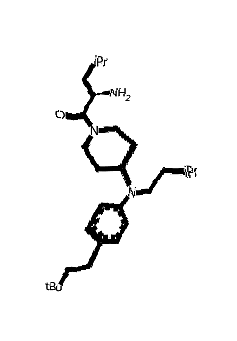 CC(C)CCN(c1ccc(CCC(C)(C)C)cc1)C1CCN(C(=O)[C@H](N)CC(C)C)CC1